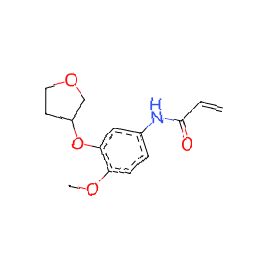 C=CC(=O)Nc1ccc(OC)c(OC2CCOC2)c1